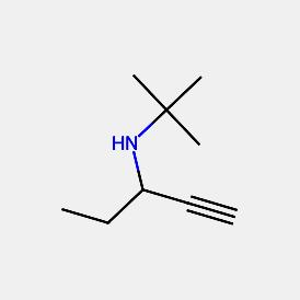 C#CC(CC)NC(C)(C)C